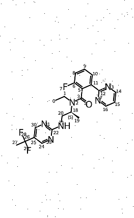 CCN(C(=O)c1c(F)cccc1-c1ncccn1)[C@@H](C)CNc1ncc(C(C)(F)F)cn1